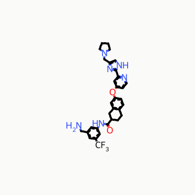 NCc1cc(NC(=O)C2CCc3ccc(Oc4ccnc(-c5nc(CN6CCCC6)c[nH]5)c4)cc3C2)cc(C(F)(F)F)c1